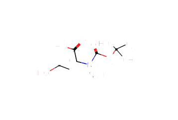 CC(C)(C)OC(=O)N[C@H](CCO)C(=O)O.[NaH]